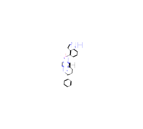 O=C(c1cccc2[nH]ccc12)N1CCN2C[C@@H](c3ccccc3)CC[C@@H]2C1